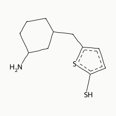 NC1CCCC(Cc2ccc(S)s2)C1